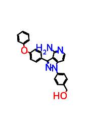 Nc1nccc2c1c(-c1ccc(Oc3ccccc3)cc1)nn2-c1ccc(CO)cc1